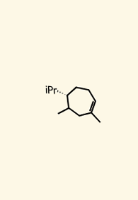 CC1=CCC[C@@H](C(C)C)C(C)C1